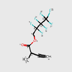 C#CC(C)C(=O)OCC(F)(F)C(F)(F)C(F)(F)F